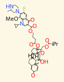 COc1c(N2CCNC(C)C2)c(F)cc2c(=O)c(C(=O)OCCCC(=O)O[C@@]3(C(=O)COC(=O)C(C)C)CC[C@@H]4[C@H]5CCC6=CC(=O)C=C[C@@]6(C)C5[C@H](O)C[C@]43C)cn(C3CC3)c12